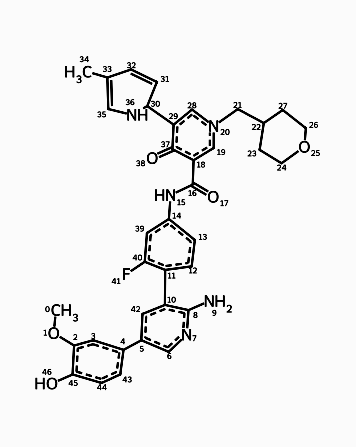 COc1cc(-c2cnc(N)c(-c3ccc(NC(=O)c4cn(CC5CCOCC5)cc(C5C=CC(C)=CN5)c4=O)cc3F)c2)ccc1O